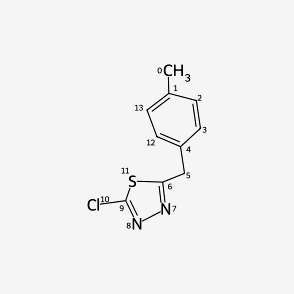 Cc1ccc(Cc2nnc(Cl)s2)cc1